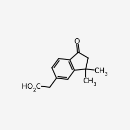 CC1(C)CC(=O)c2ccc(CC(=O)O)cc21